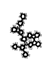 C1=CC2/C(=C3\C4=C(C=CCC4)c4ccc(N(c5ccc(-c6ccc7c(c6)c6ccccc6n7-c6ccc(-c7ccccc7)cc6)cc5)c5cc(-c6ccccc6)cc(-c6ccccc6)c5)cc43)c3ccccc3C2C=C1